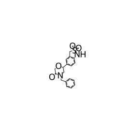 O=C1COC(c2ccc3c(c2)CS(=O)(=O)N3)CN1Cc1ccccc1